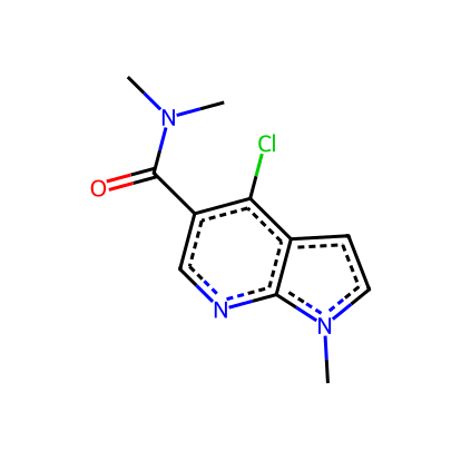 CN(C)C(=O)c1cnc2c(ccn2C)c1Cl